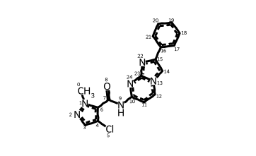 Cn1ncc(Cl)c1C(=O)Nc1ccn2cc(-c3ccccc3)nc2n1